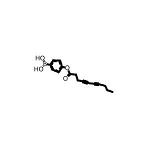 CCCC#CC#CCCC(=O)Oc1ccc(B(O)O)cc1